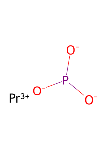 [O-]P([O-])[O-].[Pr+3]